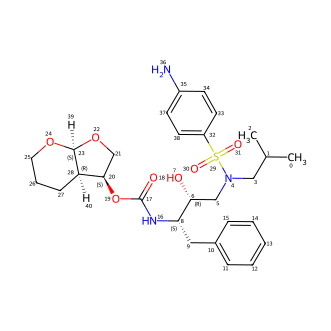 CC(C)CN(C[C@@H](O)[C@H](Cc1ccccc1)NC(=O)O[C@@H]1CO[C@@H]2OCCC[C@@H]21)S(=O)(=O)c1ccc(N)cc1